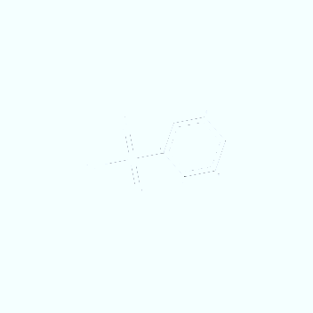 CC(C)COS(=O)(=O)c1ccccc1